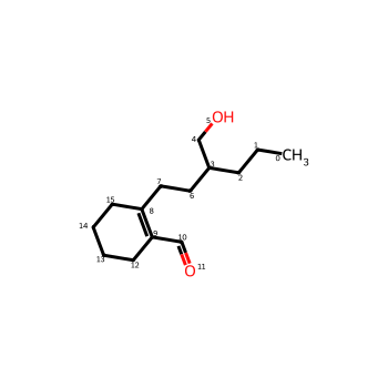 CCCC(CO)CCC1=C(C=O)CCCC1